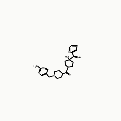 N=C(c1ccccn1)C1(O)CCN(C(=O)C2CCN(Cc3cnc(N)nc3)CC2)CC1